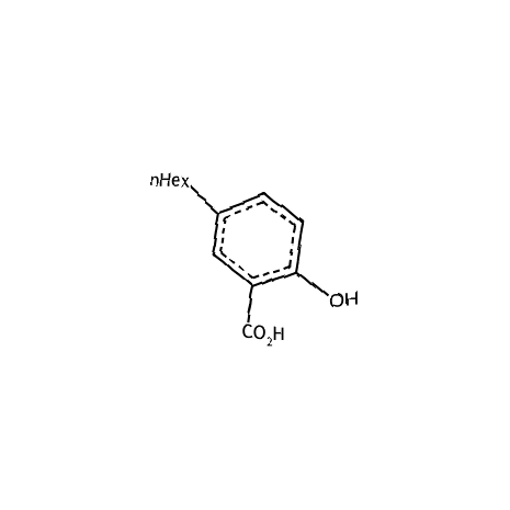 CCCCCCc1ccc(O)c(C(=O)O)c1